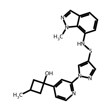 CC1CC(O)(c2ccnc(-n3cc(SNc4cccc5cnn(C)c45)cn3)c2)C1